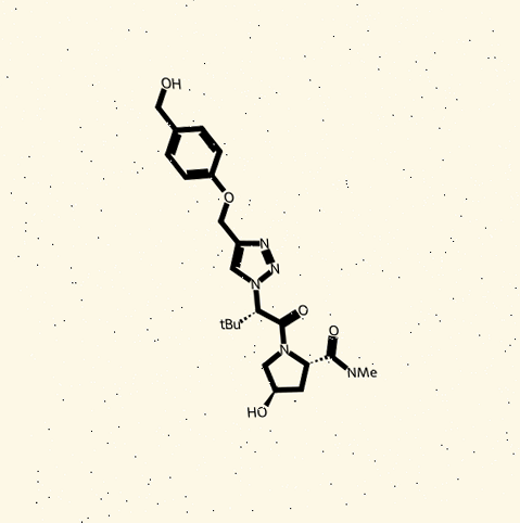 CNC(=O)[C@@H]1C[C@@H](O)CN1C(=O)[C@@H](n1cc(COc2ccc(CO)cc2)nn1)C(C)(C)C